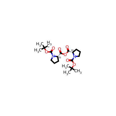 CC(C)(C)OC(=O)N1CCC[C@H]1C(=O)OC(=O)[C@@H]1CCCN1C(=O)OC(C)(C)C